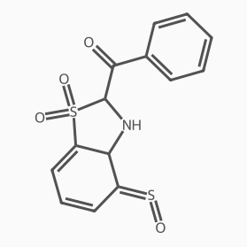 O=S=C1C=CC=C2C1NC(C(=O)c1ccccc1)S2(=O)=O